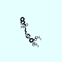 COc1ccc(N2CCN(CCCCNC(=O)C3=Cc4ccccc4SC3)CC2)cc1OC